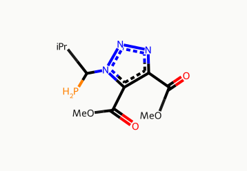 COC(=O)c1nnn(C(P)C(C)C)c1C(=O)OC